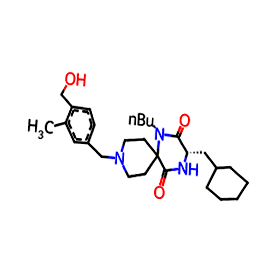 CCCCN1C(=O)[C@H](CC2CCCCC2)NC(=O)C12CCN(Cc1ccc(CO)c(C)c1)CC2